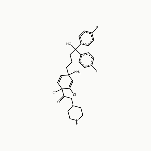 NC1(CCCC(O)(c2ccc(F)cc2)c2ccc(F)cc2)C=CC(Cl)(C(=O)CN2CCNCC2)C(Cl)=C1